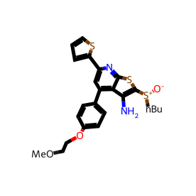 CCCC[S+]([O-])c1sc2nc(-c3cccs3)cc(-c3ccc(OCCOC)cc3)c2c1N